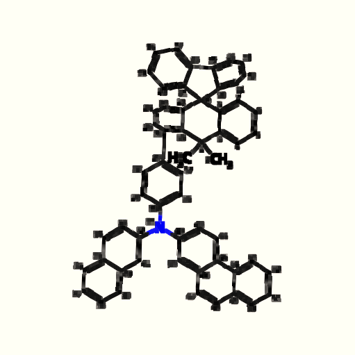 CC1(C)c2ccccc2C2(c3ccccc3-c3ccccc32)c2cccc(-c3ccc(N(c4ccc5ccccc5c4)c4ccc5c(ccc6ccccc65)c4)cc3)c21